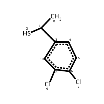 CC(S)c1ccc(Cl)c(Cl)c1